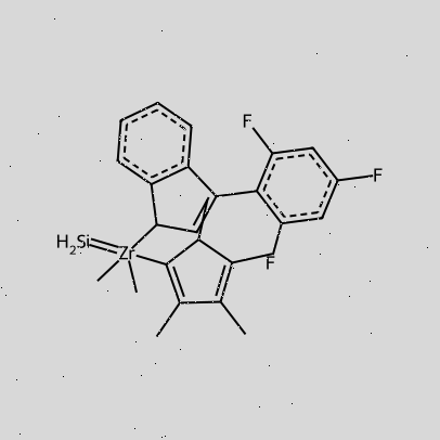 CC1=C(C)C(C)[C]([Zr]([CH3])([CH3])(=[SiH2])[CH]2C=C(c3c(F)cc(F)cc3F)c3ccccc32)=C1C